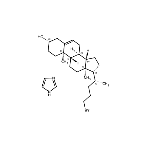 CC(C)CCC[C@@H](C)[C@H]1CC[C@H]2[C@@H]3CC=C4C[C@@H](O)CC[C@]4(C)[C@H]3CC[C@]12C.c1c[nH]cn1